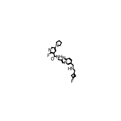 O=C(NCc1cn2cc(CNCC34CC(F)(C3)C4)ccc2n1)c1cc(N2CCCC2)cnc1F